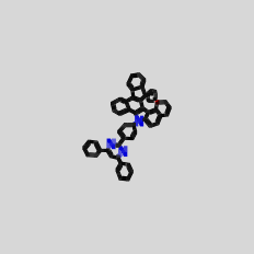 c1ccc(-c2cc(-c3ccccc3)nc(-c3ccc(-n4c5ccc6ccccc6c5c5c6c(c7ccccc7c54)-c4ccccc4C64CCCCC4)cc3)n2)cc1